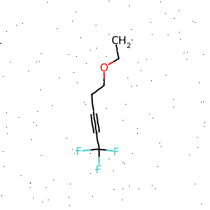 [CH2]COCCC#CC(F)(F)F